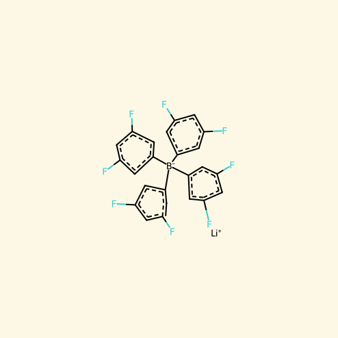 Fc1cc(F)cc([B-](c2cc(F)cc(F)c2)(c2cc(F)cc(F)c2)c2cc(F)cc(F)c2)c1.[Li+]